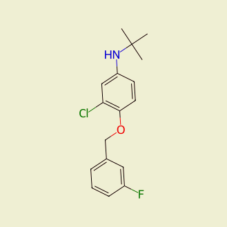 CC(C)(C)Nc1ccc(OCc2cccc(F)c2)c(Cl)c1